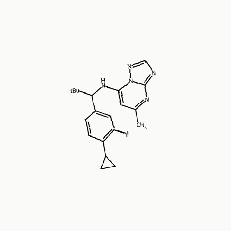 Cc1cc(NC(c2ccc(C3CC3)c(F)c2)C(C)(C)C)n2ncnc2n1